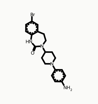 Nc1ccc(N2CCC(N3CCc4cc(Br)ccc4NC3=O)CC2)cc1